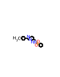 Cc1ccc(-c2cn3cc(CNS(=O)(=O)c4ccccc4)ccc3n2)cc1